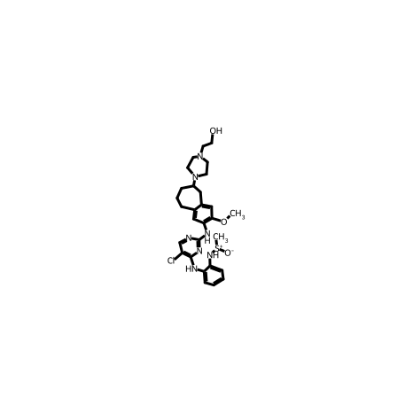 COc1cc2c(cc1Nc1ncc(Cl)c(Nc3ccccc3N[S+](C)[O-])n1)CCCC(N1CCN(CCO)CC1)C2